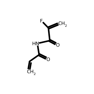 C=CC(=O)NC(=O)C(=C)F